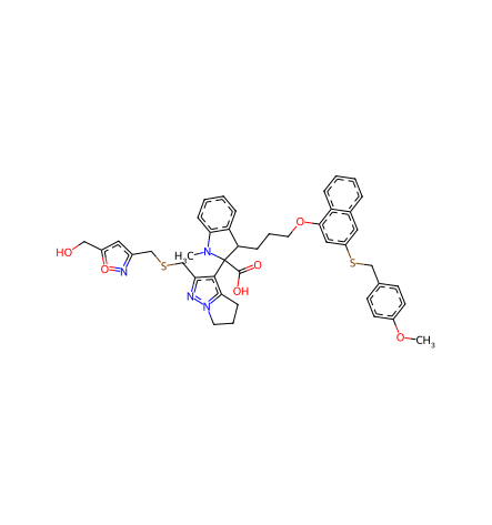 COc1ccc(CSc2cc(OCCCC3c4ccccc4N(C)C3(C(=O)O)c3c(CSCc4cc(CO)on4)nn4c3CCC4)c3ccccc3c2)cc1